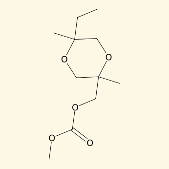 CCC1(C)COC(C)(COC(=O)OC)CO1